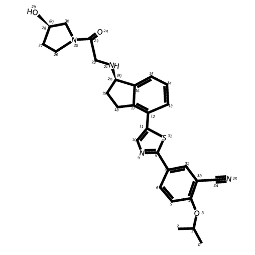 CC(C)Oc1ccc(-c2ncc(-c3cccc4c3CC[C@H]4NCC(=O)N3CC[C@@H](O)C3)s2)cc1C#N